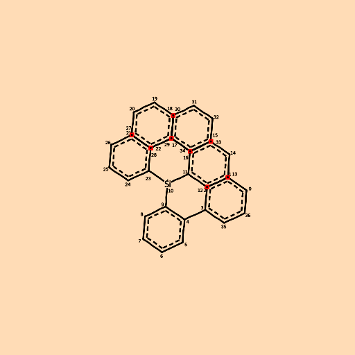 c1ccc(-c2ccccc2[Si](c2ccccc2-c2ccccc2)c2ccccc2-c2ccccc2)cc1